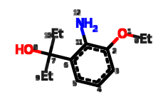 CCOc1cccc(C(O)(CC)CC)c1N